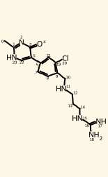 Cc1nc(=O)c(-c2ccc(CNCCCNC(=N)N)c(Cl)c2)c[nH]1